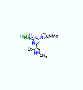 CCc1nn(C)cc1-c1cc(N2CC[C@@H](NC)C2)nc(N)n1.Cl.Cl